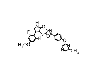 COc1cc(F)c(C2CNC(=O)C2Nc2nnc(-c3ccc(Oc4cncc(C)n4)cc3)o2)c(F)c1